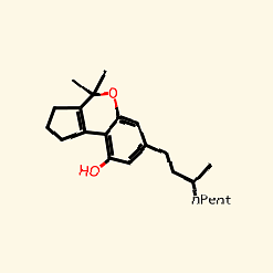 CCCCCC(C)CCc1cc(O)c2c(c1)OC(C)(C)C1=C2CCC1